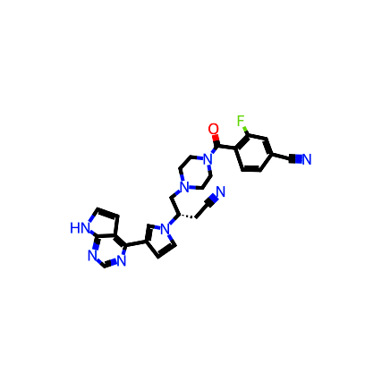 N#CC[C@@H](CN1CCN(C(=O)c2ccc(C#N)cc2F)CC1)n1ccc(-c2ncnc3[nH]ccc23)c1